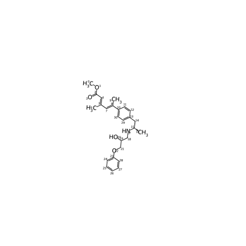 COC(=O)C=C(C)C=C(C)c1ccc(C[C@@H](C)NCC(O)COc2ccccc2)cc1